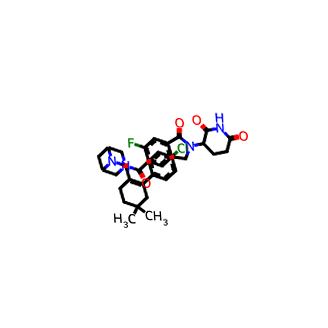 CC1(C)CCC(CN2C3CC2CN(C(=O)c2cc4c(cc2F)C(=O)N(C2CCC(=O)NC2=O)C4)C3)=C(c2ccc(Cl)cc2)C1